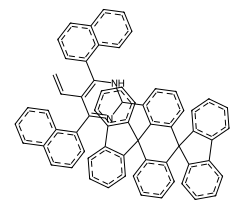 C=CC1=C(c2cccc3ccccc23)NC(c2cccc3c2C2(c4ccccc4-c4ccccc42)c2ccccc2C32c3ccccc3-c3ccccc32)N=C1c1cccc2ccccc12